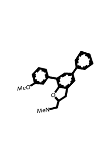 CNCC1Cc2cc(-c3ccccc3)cc(-c3cccc(OC)c3)c2O1